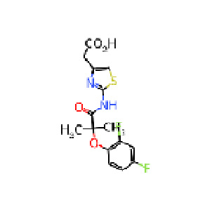 CC(C)(Oc1ccc(F)cc1F)C(=O)Nc1nc(CC(=O)O)cs1